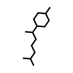 CC(C)CCCC(C)C1CCC(C)CC1